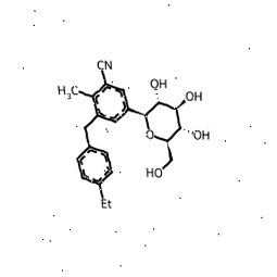 CCc1ccc(Cc2cc([C@@H]3O[C@H](CO)[C@@H](O)[C@H](O)[C@H]3O)cc(C#N)c2C)cc1